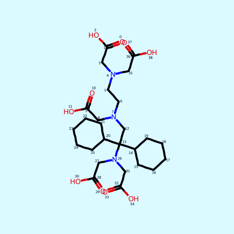 O=C(O)CN(CCN(CC(=O)O)CC(C1CCCCC1)(C1CCCCC1)N(CC(=O)O)CC(=O)O)CC(=O)O